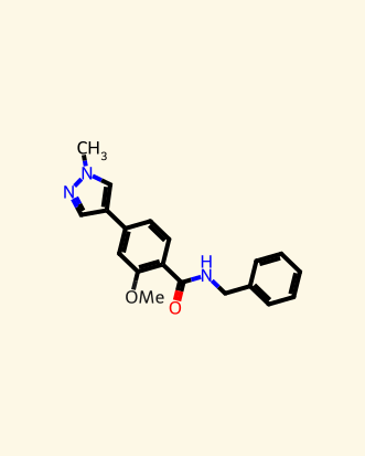 COc1cc(-c2cnn(C)c2)ccc1C(=O)NCc1ccccc1